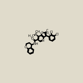 Cc1sc2c(N(C)C)c(C(=O)NC3CCOc4ccccc43)cnc2c1-c1cccc(Cl)c1Cl